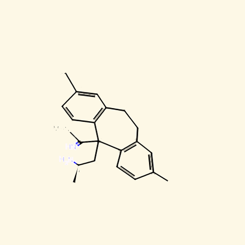 CNC(=N)C1(C[C@@H](C)N)c2ccc(C)cc2CCc2cc(C)ccc21